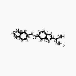 N=C(N)c1cc2ccc(OCc3ccc4nsnc4c3)cc2s1